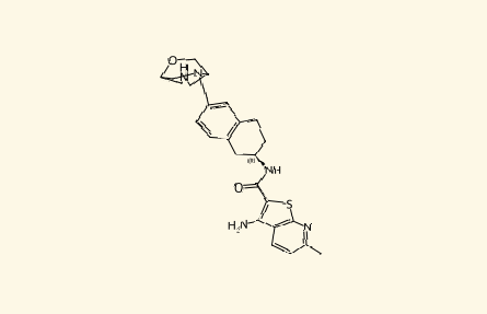 Cc1ccc2c(N)c(C(=O)N[C@@H]3CCc4cc(N5CC6CNCC5CO6)ccc4C3)sc2n1